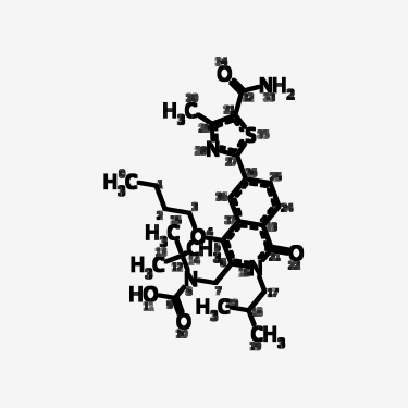 CCCCOc1c(CN(C(=O)O)C(C)(C)C)n(CC(C)C)c(=O)c2ccc(-c3nc(C)c(C(N)=O)s3)cc12